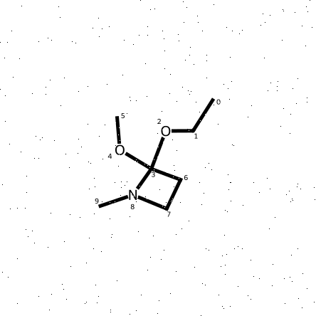 CCOC1(OC)CCN1C